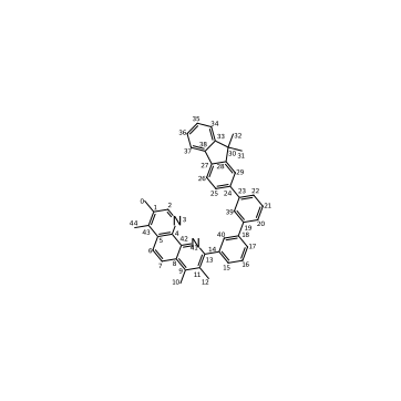 Cc1cnc2c(ccc3c(C)c(C)c(-c4cccc(-c5cccc(-c6ccc7c(c6)C(C)(C)c6ccccc6-7)c5)c4)nc32)c1C